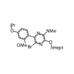 CCCCCCCOc1nc(Br)c(-c2ccc(OC(C)C)cc2OC)nc1NC